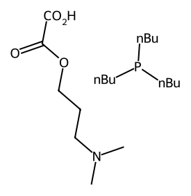 CCCCP(CCCC)CCCC.CN(C)CCCOC(=O)C(=O)O